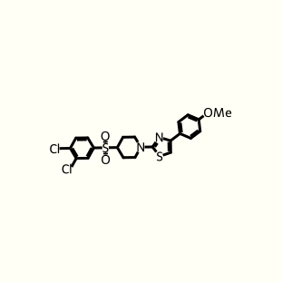 COc1ccc(-c2csc(N3CCC(S(=O)(=O)c4ccc(Cl)c(Cl)c4)CC3)n2)cc1